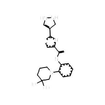 CCCC1(CC)CCCN(c2ccccc2NC(=O)c2csc(C3=CNNC3)n2)C1